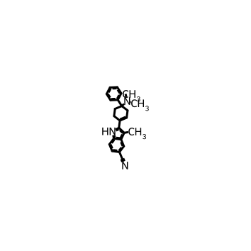 Cc1c(C2=CCC(c3ccccc3)(N(C)C)CC2)[nH]c2ccc(C#N)cc12